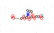 C=C(C)C(=O)OCCCCCCc1ccc(C(=O)Oc2ccc(OC(=O)c3ccc(OC(=O)c4ccc5cc(OC(=O)C(=C)F)ccc5c4)c(OC)c3)c(/C=N/N=C/c3c4ccccc4cc4ccccc34)c2F)cc1